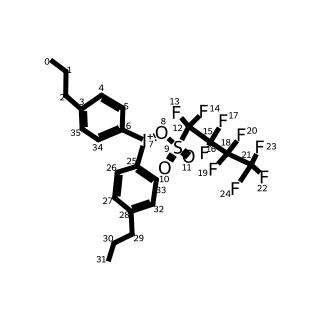 CCCc1ccc([I+](OS(=O)(=O)C(F)(F)C(F)(F)C(F)(F)C(F)(F)F)c2ccc(CCC)cc2)cc1